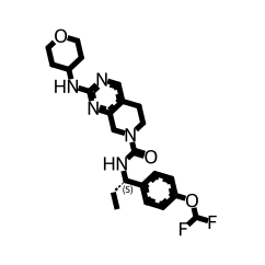 CC[C@H](NC(=O)N1CCc2cnc(NC3CCOCC3)nc2C1)c1ccc(OC(F)F)cc1